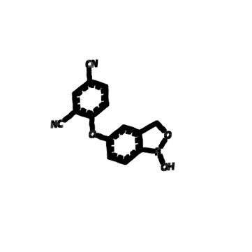 N#Cc1ccc(Oc2ccc3c(c2)COB3O)c(C#N)c1